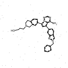 Nc1ncnn2c(-c3ccc4c(c3)CN(CCCO)CC4)cc(-c3ccc4cn(Cc5ccccc5)nc4c3)c12